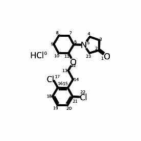 Cl.O=C1CCN(C2CCCCC2OCCc2c(Cl)cccc2Cl)C1